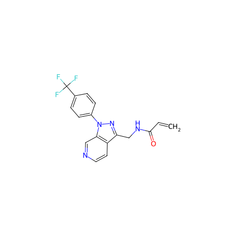 C=CC(=O)NCc1nn(-c2ccc(C(F)(F)F)cc2)c2cnccc12